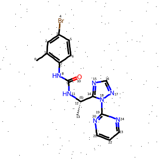 Cc1cc(Br)ccc1NC(=O)N[C@@H](C)c1ncnn1-c1ncccn1